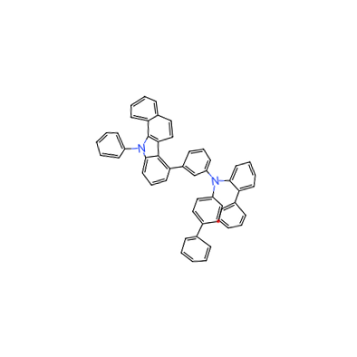 c1ccc(-c2ccc(N(c3cccc(-c4cccc5c4c4ccc6ccccc6c4n5-c4ccccc4)c3)c3ccccc3-c3ccccc3)cc2)cc1